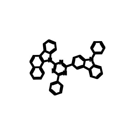 c1ccc(-c2nc(-c3ccc4c(c3)c3ccccc3n4-c3ccccc3)nc(-n3c4ccccc4c4ccc5ccccc5c43)n2)cc1